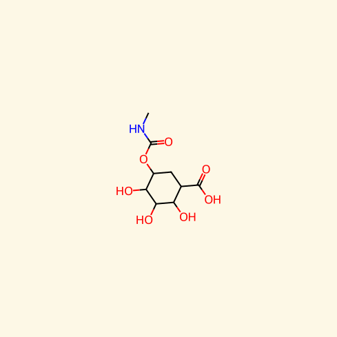 CNC(=O)OC1CC(C(=O)O)C(O)C(O)C1O